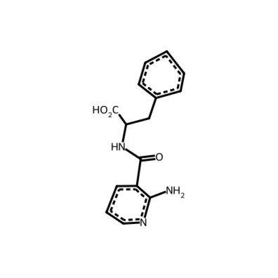 Nc1ncccc1C(=O)NC(Cc1ccccc1)C(=O)O